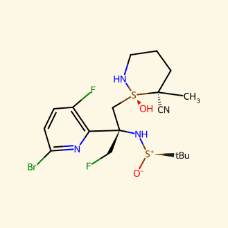 CC(C)(C)[S@@+]([O-])N[C@@](CF)(C[S@]1(O)NCCC[C@]1(C)C#N)c1nc(Br)ccc1F